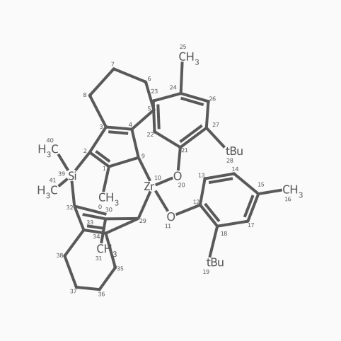 CC1=C2C3=C(CCCC3)[CH]1[Zr]([O]c1ccc(C)cc1C(C)(C)C)([O]c1ccc(C)cc1C(C)(C)C)[CH]1C(C)=C(C3=C1CCCC3)[Si]2(C)C